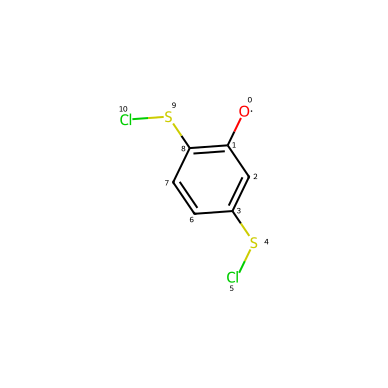 [O]c1cc(SCl)ccc1SCl